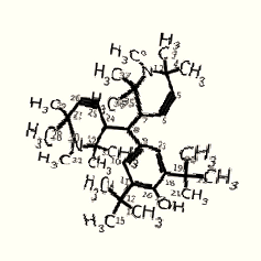 CN1C(C)(C)C#CC([C](c2cc(C(C)(C)C)c(O)c(C(C)(C)C)c2)C2C#CC(C)(C)N(C)C2(C)C)C1(C)C